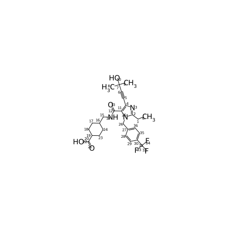 CCc1nc(C#CC(C)(C)O)c(C(=O)NCC2CCC(C(=O)O)CC2)n1Cc1ccc(C(F)(F)F)cc1